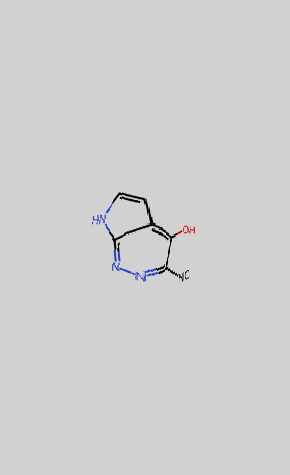 [C-]#[N+]c1nnc2[nH]ccc2c1O